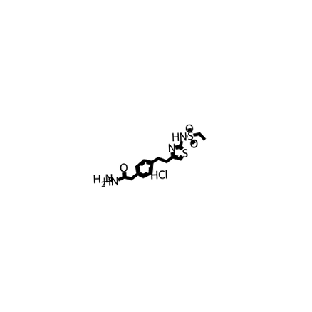 CCS(=O)(=O)Nc1nc(CCc2ccc(CC(=O)NN)cc2)cs1.Cl